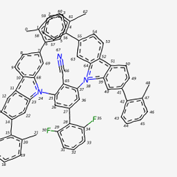 Cc1ccccc1-c1ccc2c3ccc(-c4ccccc4C)cc3n(-c3cc(-c4c(F)cccc4F)cc(-n4c5cc(-c6ccccc6C)ccc5c5ccc(-c6ccccc6C)cc54)c3C#N)c2c1